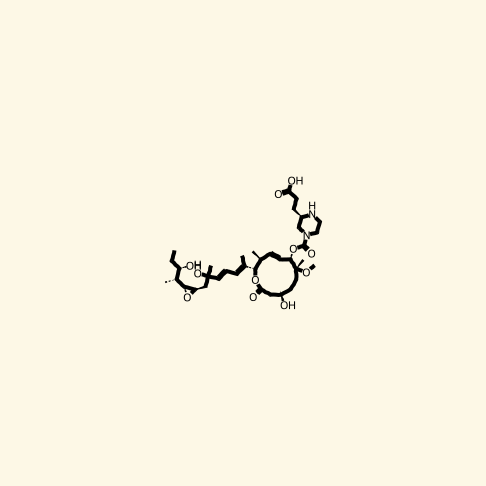 CC[C@H](O)[C@@H](C)[C@H]1O[C@@H]1CC(C)(O)/C=C/C=C(\C)[C@H]1OC(=O)C[C@H](O)CC[C@@](C)(OC)[C@@H](OC(=O)N2CCN[C@H](CCC(=O)O)C2)/C=C/[C@@H]1C